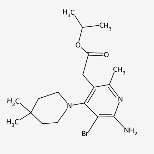 Cc1nc(N)c(Br)c(N2CCC(C)(C)CC2)c1CC(=O)OC(C)C